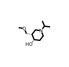 COC[C@@H]1CN(C(C)C)CC[C@@H]1O